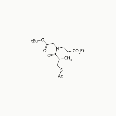 CCOC(=O)CCN(CC(=O)OC(C)(C)C)C(=O)[C@H](C)CSC(C)=O